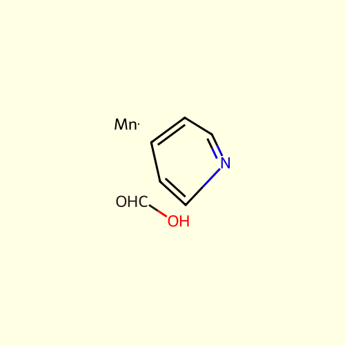 O=CO.[Mn].c1ccncc1